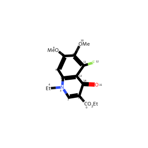 CCOC(=O)c1cn(CC)c2cc(OC)c(OC)c(F)c2c1=O